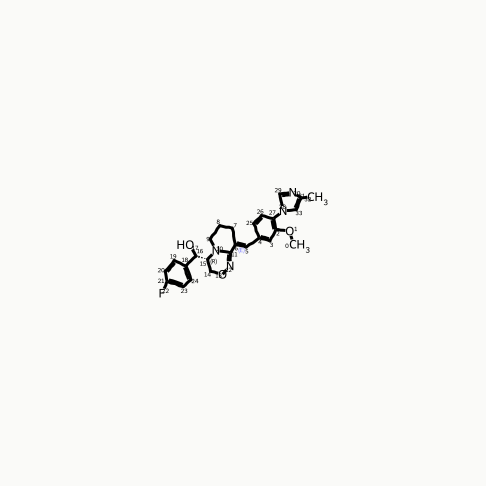 COc1cc(/C=C2\CCCN3C2=NOC[C@@H]3C(O)c2ccc(F)cc2)ccc1-n1cnc(C)c1